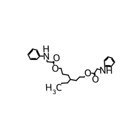 CCCC(CCCOC(=O)CNc1ccccc1)CCCOC(=O)CNc1ccccc1